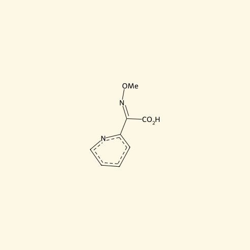 CON=C(C(=O)O)c1ccccn1